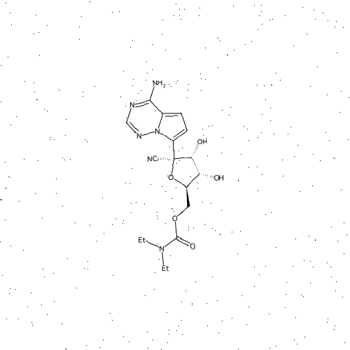 CCN(CC)C(=O)OC[C@H]1O[C@@](C#N)(c2ccc3c(N)ncnn23)[C@H](O)[C@@H]1O